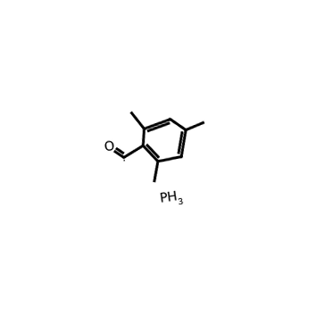 Cc1cc(C)c([C]=O)c(C)c1.P